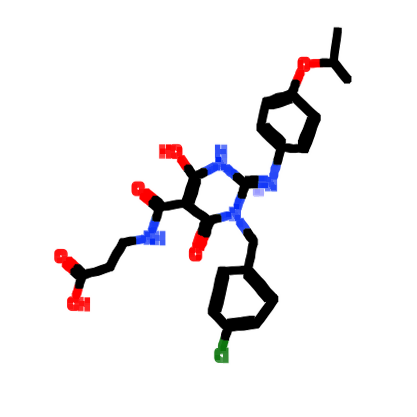 CC(C)Oc1ccc(/N=c2\[nH]c(O)c(C(=O)NCCC(=O)O)c(=O)n2Cc2ccc(Cl)cc2)cc1